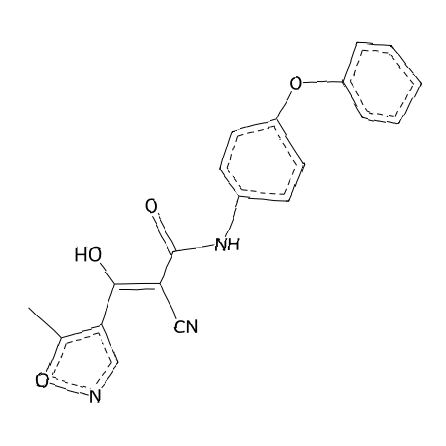 Cc1oncc1/C(O)=C(\C#N)C(=O)Nc1ccc(Oc2ccccc2)cc1